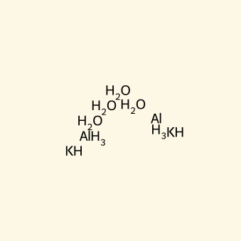 O.O.O.O.[AlH3].[AlH3].[KH].[KH]